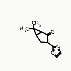 CC1(C)C2CC(c3ncco3)C(=O)C21